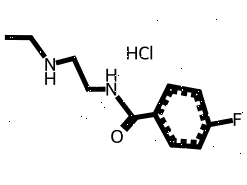 CCNCCNC(=O)c1ccc(F)cc1.Cl